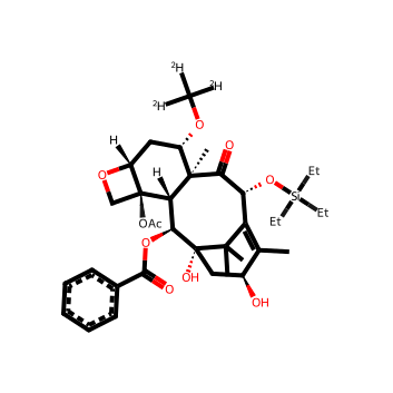 [2H]C([2H])([2H])O[C@H]1C[C@H]2OC[C@@]2(OC(C)=O)[C@H]2[C@H](OC(=O)c3ccccc3)[C@]3(O)C[C@H](O)C(C)=C([C@@H](O[Si](CC)(CC)CC)C(=O)[C@]12C)C3(C)C